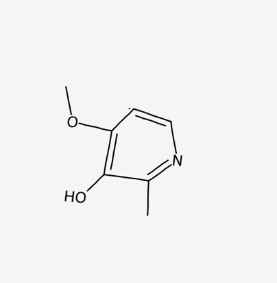 COc1[c]cnc(C)c1O